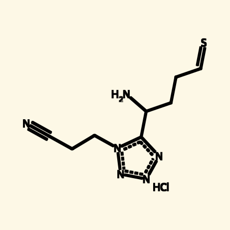 Cl.N#CCCn1nnnc1C(N)CCC=S